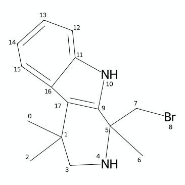 CC1(C)CNC(C)(CBr)c2[nH]c3ccccc3c21